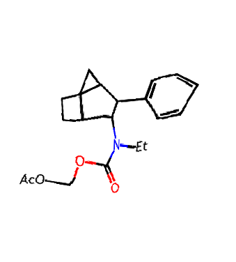 CCN(C(=O)OCOC(C)=O)C1C(c2ccccc2)C2CC23CCC13